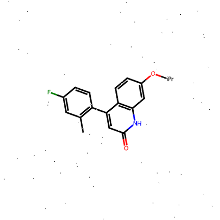 Cc1cc(F)ccc1-c1cc(=O)[nH]c2cc(OC(C)C)ccc12